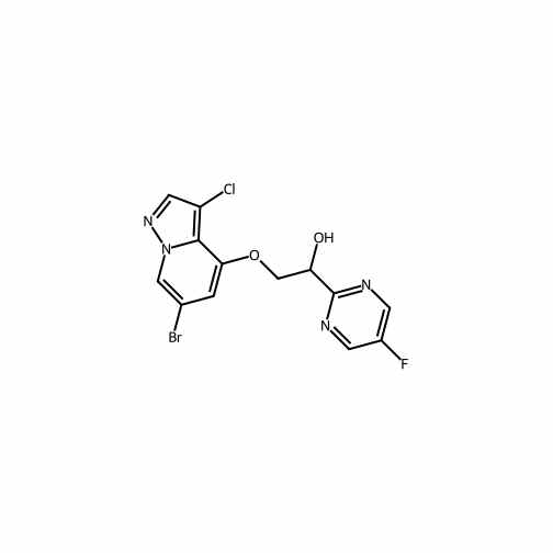 OC(COc1cc(Br)cn2ncc(Cl)c12)c1ncc(F)cn1